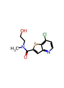 CN(CCO)C(=O)c1cc2nccc(Cl)c2s1